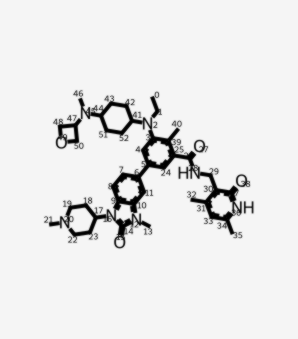 CCN(c1cc(-c2ccc3c(c2)n(C)c(=O)n3C2CCN(C)CC2)cc(C(=O)NCc2c(C)cc(C)[nH]c2=O)c1C)C1CCC(N(C)C2COC2)CC1